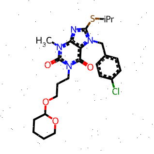 CC(C)Sc1nc2c(c(=O)n(CCCOC3CCCCO3)c(=O)n2C)n1Cc1ccc(Cl)cc1